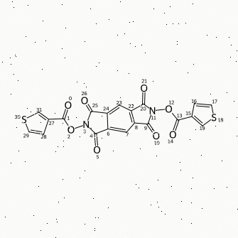 O=C(On1c(=O)c2cc3c(=O)n(OC(=O)c4ccsc4)c(=O)c3cc2c1=O)c1ccsc1